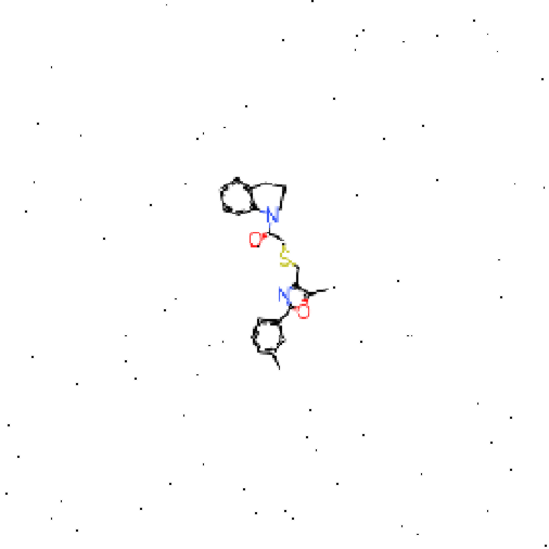 Cc1cccc(-c2nc(CSCC(=O)N3CCCc4ccccc43)c(C)o2)c1